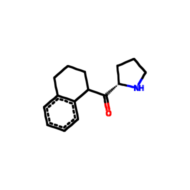 O=C(C1CCCc2ccccc21)[C@@H]1CCCN1